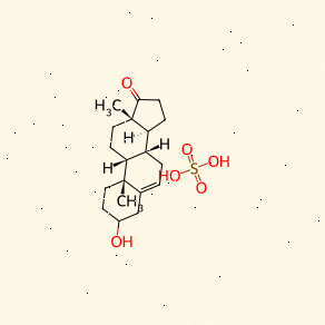 C[C@]12CCC(O)CC1=CC[C@@H]1[C@H]2CC[C@]2(C)C(=O)CC[C@@H]12.O=S(=O)(O)O